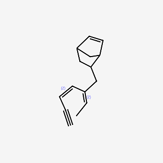 C#C/C=C\C(=C/C)CC1CC2C=CC1C2